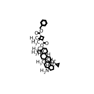 CC1([C@@H]2CC[C@]3(N)CC[C@]4(C)[C@H](CC[C@@H]5[C@@]6(C)CC[C@H](OC(=O)[C@H]7C[C@@H](C(=O)OCc8ccccc8)C7(C)C)C(C)(C)[C@@H]6CC[C@]54C)[C@@H]23)CC1